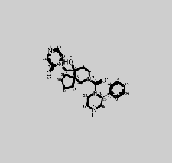 O=C(N1CCC(O)(Cn2ccncc2=O)C2(CCCC2)C1)N1CCNC[C@H]1c1ccccc1